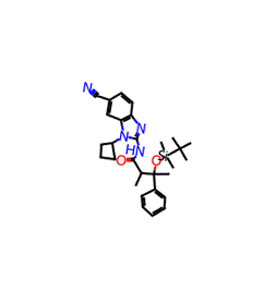 CC(C(=O)Nc1nc2ccc(C#N)cc2n1C1CCC1)C(C)(O[Si](C)(C)C(C)(C)C)c1ccccc1